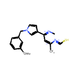 C\N=C(/C=C(\N=C\S)C(F)(F)F)c1ccn(Cc2cccc(OC)c2)c1